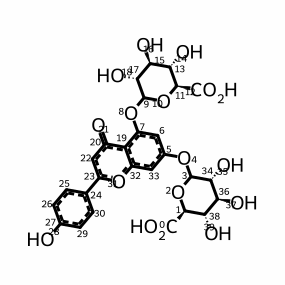 O=C(O)[C@H]1OC(Oc2cc(OC3O[C@H](C(=O)O)[C@@H](O)[C@H](O)[C@H]3O)c3c(=O)cc(-c4ccc(O)cc4)oc3c2)[C@H](O)[C@@H](O)[C@@H]1O